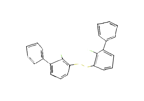 Fc1c(SSc2cccc(-c3ccccc3)c2F)cccc1-c1ccccc1